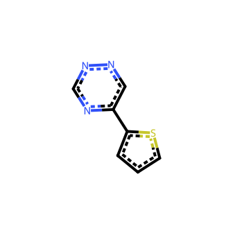 c1csc(-c2cnncn2)c1